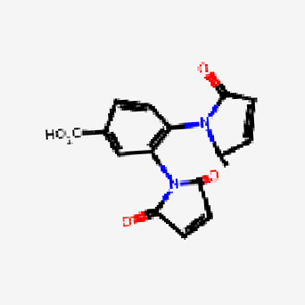 CC1C=CC(=O)N1c1ccc(C(=O)O)cc1N1C(=O)C=CC1=O